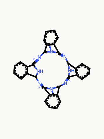 CN1/C2=N\C3N/C(=N\C4c5ccccc5/C(=N/C5N/C(=N\C1c1ccccc12)c1ccccc15)N4C)c1ccccc13